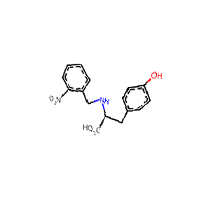 O=C(O)[C@H](Cc1ccc(O)cc1)NCc1ccccc1[N+](=O)[O-]